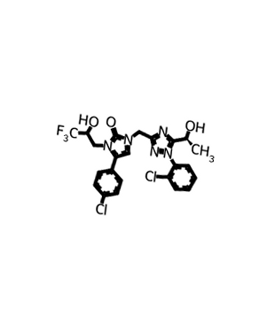 C[C@H](O)c1nc(Cn2cc(-c3ccc(Cl)cc3)n(CC(O)C(F)(F)F)c2=O)nn1-c1ccccc1Cl